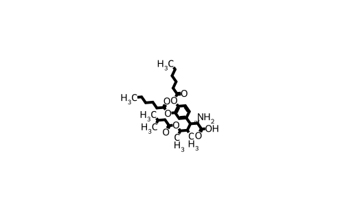 CCCCCC(=O)Oc1ccc(C(C(C)C(C)OC(=O)CC(C)C)[C@H](N)C(=O)O)cc1OC(=O)CCCCC